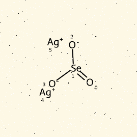 O=[Se]([O-])[O-].[Ag+].[Ag+]